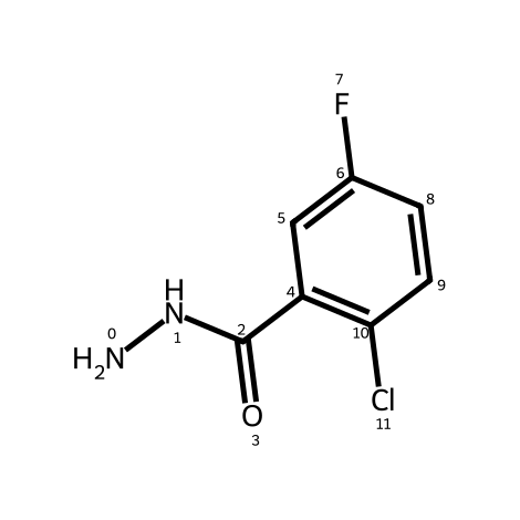 NNC(=O)c1cc(F)ccc1Cl